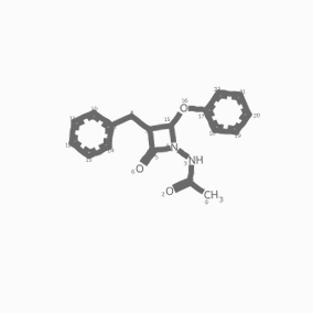 CC(=O)NN1C(=O)C(Cc2ccccc2)C1Oc1ccccc1